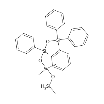 C[SiH2]O[Si](C)(C)O[Si](C)(O[Si](c1ccccc1)(c1ccccc1)c1ccccc1)c1ccccc1